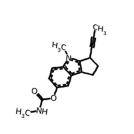 CC#CC1CCc2c1n(C)c1ccc(OC(=O)NC)cc21